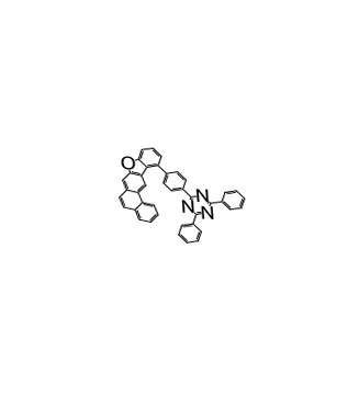 c1ccc(-c2nc(-c3ccccc3)nc(-c3ccc(-c4cccc5oc6cc7ccc8ccccc8c7cc6c45)cc3)n2)cc1